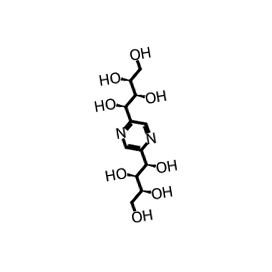 OC[C@H](O)[C@@H](O)[C@H](O)c1cnc([C@@H](O)[C@H](O)[C@@H](O)CO)cn1